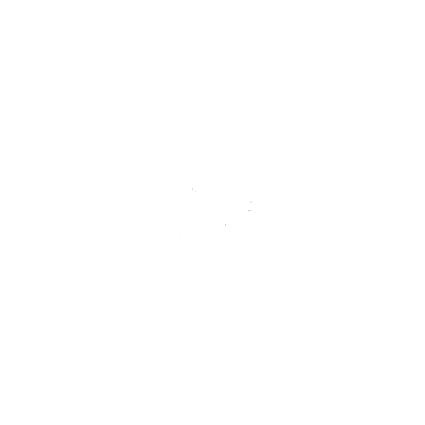 CCCN(C)C(CC)C(C)O